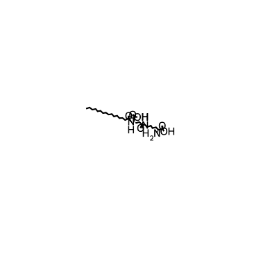 CCCCCCCCCCCCCCCC(=O)N[C@@H](CCC(=O)NCCCC[C@H](N)C(=O)O)C(=O)O